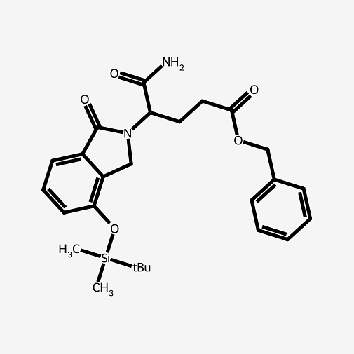 CC(C)(C)[Si](C)(C)Oc1cccc2c1CN(C(CCC(=O)OCc1ccccc1)C(N)=O)C2=O